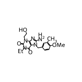 CCn1c(=O)c2c(nc(N)n2Cc2ccc(OC)c(C)c2)n(CCO)c1=O